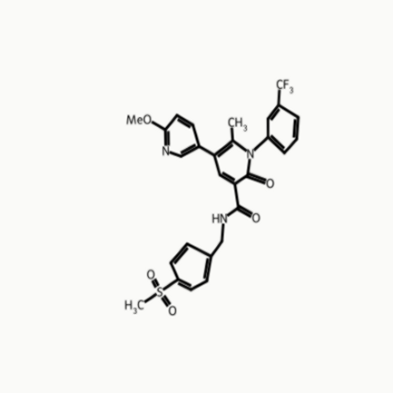 COc1ccc(-c2cc(C(=O)NCc3ccc(S(C)(=O)=O)cc3)c(=O)n(-c3cccc(C(F)(F)F)c3)c2C)cn1